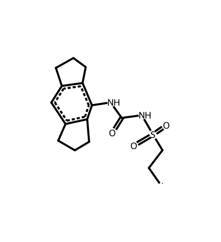 [CH2]CCS(=O)(=O)NC(=O)Nc1c2c(cc3c1CCC3)CCC2